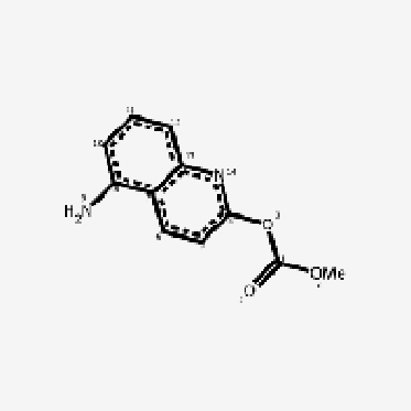 COC(=O)Oc1ccc2c(N)cccc2n1